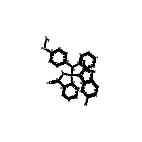 Cc1ccc2[nH]c(C)c(C3(N(c4ccccc4)c4ccc(OC(C)C)cc4)OC(=O)c4ccccc43)c2c1